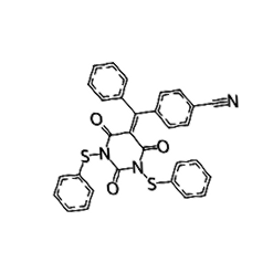 N#Cc1ccc(C(=C2C(=O)N(Sc3ccccc3)C(=O)N(Sc3ccccc3)C2=O)c2ccccc2)cc1